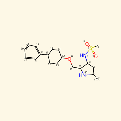 CCC1CC(NS(C)(=O)=O)C(COC2CCC(c3ccccc3)CC2)N1